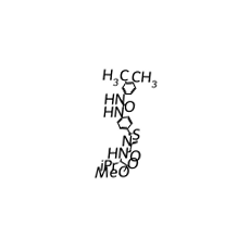 COC(=O)[C@@H](NC(=O)c1csc(-c2ccc(NC(=O)Nc3ccc(C)c(C)c3)cc2)n1)C(C)C